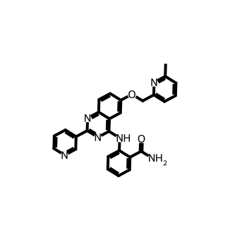 Cc1cccc(COc2ccc3nc(-c4cccnc4)nc(Nc4ccccc4C(N)=O)c3c2)n1